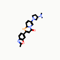 Cc1nc2ccc(C3=CC(=O)N4C=C(N5CC[C@@H](N(C)C)C5)C=CC4P3)cc2o1